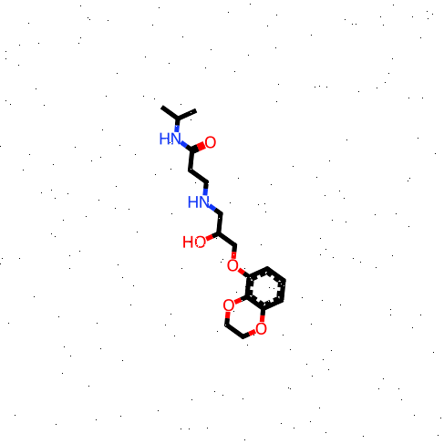 CC(C)NC(=O)CCNCC(O)COc1cccc2c1OCCO2